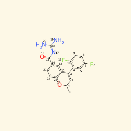 CC1C=C(c2cc(F)ccc2F)c2cc(C(=O)N=C(N)N)ccc2O1